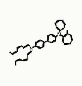 C\C=C/C=C\C=C\N(/C=C/C=C\C=C/C)c1ccc(-c2ccc(N(C3=CC=CC=CC3)C3=C(C)C=CC=CC3)cc2)cc1